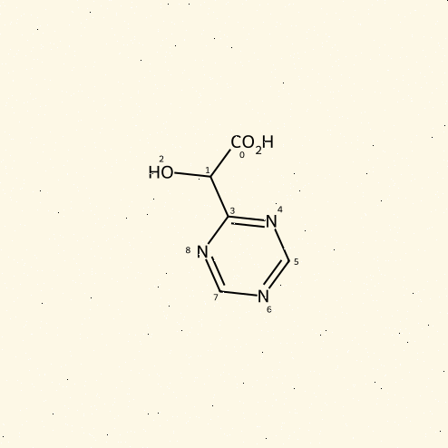 O=C(O)C(O)c1ncncn1